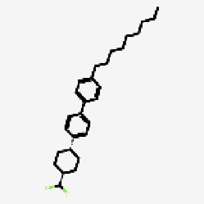 CCCCCCCCCc1ccc(-c2ccc([C@H]3CC[C@H](C(F)F)CC3)cc2)cc1